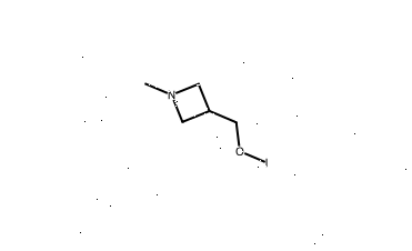 CN1CC(COI)C1